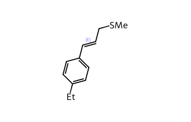 CCc1ccc(/C=C/CSC)cc1